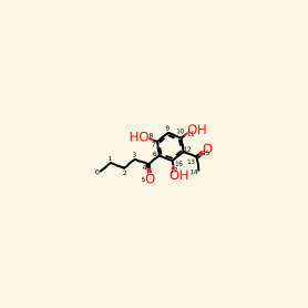 CCCCC(=O)c1c(O)cc(O)c(C(C)=O)c1O